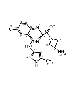 Cc1cc(Nc2nc(C(=O)N3CC(N)C3)nc3ccc(Cl)cc23)n[nH]1